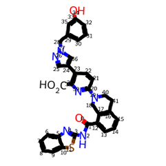 O=C(Nc1nc2ccccc2s1)c1cccc2c1CN(c1ccc(-c3cnn(Cc4cccc(O)c4)c3)c(C(=O)O)n1)CC2